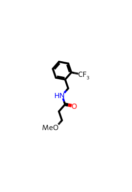 COCCC(=O)NCc1ccccc1C(F)(F)F